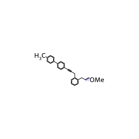 CO/C=C/Cc1ccccc1CC#Cc1ccc(-c2ccc(C)cc2)cc1